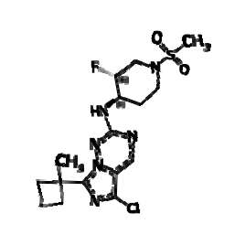 CC1(c2nc(Cl)c3cnc(N[C@@H]4CCN(S(C)(=O)=O)C[C@H]4F)nn23)CCC1